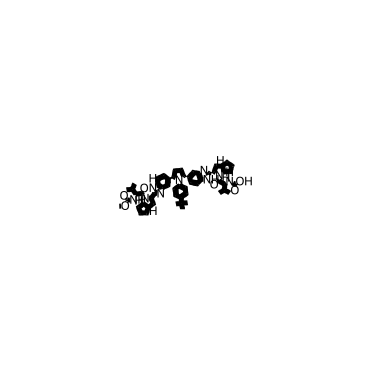 COC(=O)NC(C(=O)N1C(c2nc3cc([C@H]4CC[C@H](c5ccc6[nH]c([C@@H]7C[C@@H]8CCC[C@@H]8N7C(=O)C(NC(=O)O)C(C)C)nc6c5)N4c4ccc(C(C)(C)C)cc4)ccc3[nH]2)C[C@@H]2CCC[C@@H]21)C(C)C